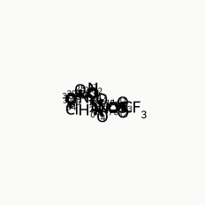 CC1(C)C(=O)N(c2ccc(S(=O)(=O)C(F)(F)F)cc2)C(=O)N1Cc1ccncc1NC(=O)c1cccc(Cl)c1